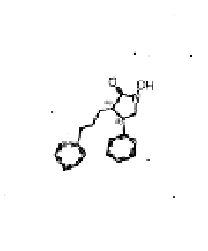 O=C1[C@H](CCCc2ccccc2)[C@H](c2ccccc2)CN1O